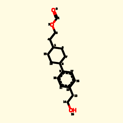 O=COCCC1CCC(c2ccc(CCO)cc2)CC1